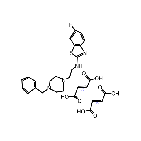 Fc1ccc2nc(NCCN3CCN(Cc4ccccc4)CC3)sc2c1.O=C(O)/C=C/C(=O)O.O=C(O)/C=C/C(=O)O